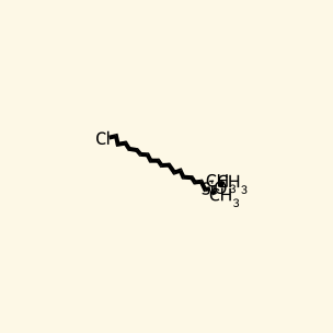 CO[Si](C)(C)CCCCCCCCCCCCCCCCCCCl